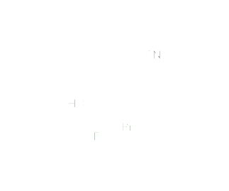 CC(=C(F)Br)c1ccc(C#N)cc1